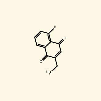 CCC1=CC(=O)c2c(F)cccc2C1=O